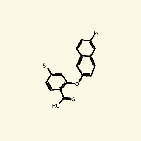 O=C(O)c1ccc(Br)cc1Oc1ccc2cc(Br)ccc2c1